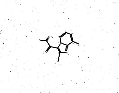 CC(=O)C(=O)c1c(C)nc2c(C)cccn12